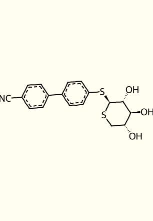 N#Cc1ccc(-c2ccc(S[C@@H]3SC[C@@H](O)[C@H](O)[C@H]3O)cc2)cc1